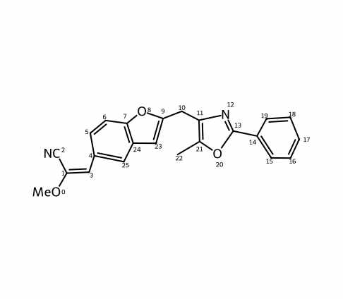 COC(C#N)=Cc1ccc2oc(Cc3nc(-c4ccccc4)oc3C)cc2c1